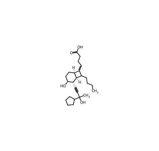 CCCCC1/C(=C/CCC(=O)O)[C@@H]2CC[C@H](O)[C@@H](C#CC(C)(O)C3CCCC3)[C@H]12